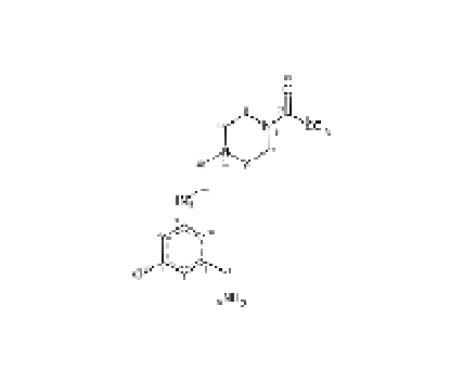 NCc1cc(Cl)cc(NCCN2CCN(C(=O)C(Cl)(Cl)Cl)CC2)c1